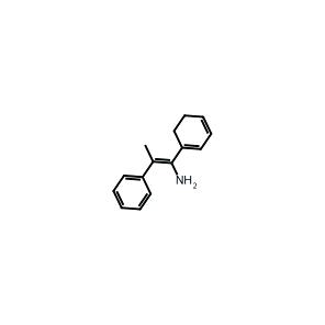 C/C(=C(/N)C1=CC=CCC1)c1ccccc1